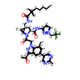 CCCCCC(C)(C)C(=O)NC[C@@]12C[C@@H](C(=O)Nc3ccn(CC(F)(F)F)n3)N(C(=O)Cn3nc(C(C)=O)c4cc(-c5cnc(C)nc5)cc(C)c43)C1[C@@H]2C